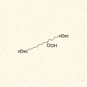 CCCCCCCCCCCCCCCCCC(CCCCCCCCCCCCCC)OO